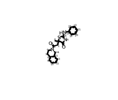 CC1(CC(=O)N2CCc3ccccc3C2)SC(Nc2ccccc2)=NC1=O